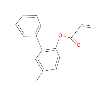 C=CC(=O)Oc1ccc(C)cc1-c1ccccc1